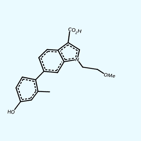 COCCn1cc(C(=O)O)c2ccc(-c3ccc(O)cc3C)cc21